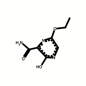 CCOc1cnc(O)c(C(N)=O)n1